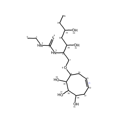 CCNC(=S)NC(COC1C/C=C\CC(O)C(O)C1O)C(O)CC(O)CC